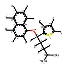 Cc1sc([C@@](C)(Oc2c(C)c(C)c(C)c3c(C)c(C)c(C)c(C)c23)C(C)(C)C(C)(C)C(C(C)(C)C)C(C)(C)C)c(C)c1C